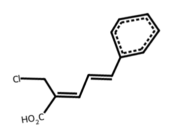 O=C(O)C(=CC=Cc1ccccc1)CCl